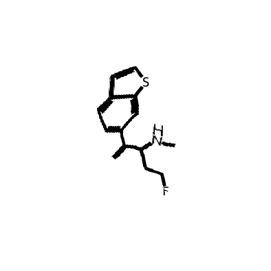 C=C(c1ccc2ccsc2c1)C(CCF)NC